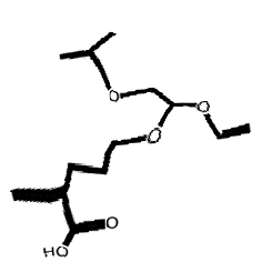 C=COC(COC(C)C)OCCCC(=C)C(=O)O